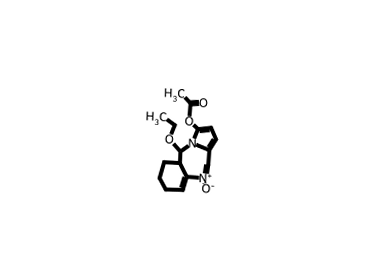 CCOC1C2CCCC=C2[N+]([O-])=Cc2ccc(OC(C)=O)n21